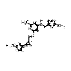 Cc1nc(NCc2nnc(C)s2)cc(OCC2CC2c2coc(C)n2)n1